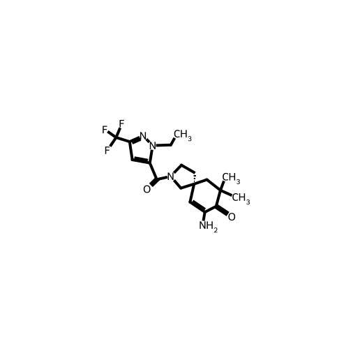 CCn1nc(C(F)(F)F)cc1C(=O)N1CC[C@]2(C=C(N)C(=O)C(C)(C)C2)C1